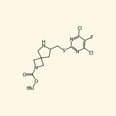 CC(C)(C)OC(=O)N1CC2(CNC(CSc3nc(Cl)c(F)c(Cl)n3)C2)C1